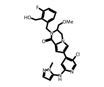 COCC1Cn2cc(-c3cc(Nc4ccnn4C)ncc3Cl)cc2C(=O)N1Cc1cccc(F)c1CO